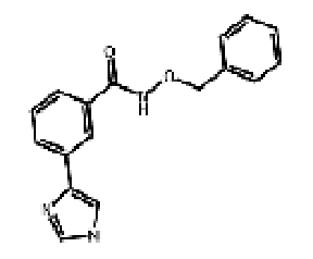 O=C(NOCc1ccccc1)c1cccc(-c2c[nH]cn2)c1